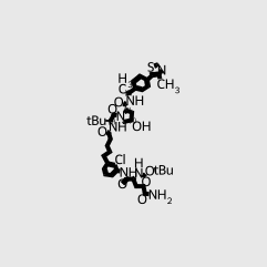 Cc1ncsc1-c1ccc([C@H](C)NC(=O)[C@@H]2C[C@@H](O)CN2C(=O)[C@@H](NC(=O)CCCCc2cccc(NC(=O)C(CCC(N)=O)NC(=O)OC(C)(C)C)c2Cl)C(C)(C)C)cc1